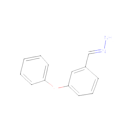 NN=Cc1cccc(Oc2ccccc2)c1